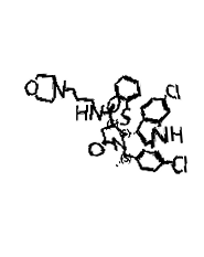 C[C@@H](c1ccc(Cl)cc1)N1C(=O)C[C@@](Sc2ccccc2)(C(=O)NCCCN2CCOCC2)[C@@H]1c1c[nH]c2cc(Cl)ccc12